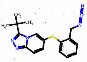 CC(C)(C)c1nnc2ccc(Sc3ccccc3CN=[N+]=[N-])cn12